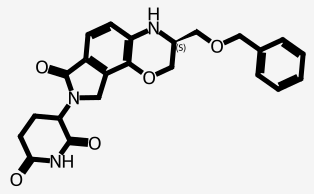 O=C1CCC(N2Cc3c(ccc4c3OC[C@H](COCc3ccccc3)N4)C2=O)C(=O)N1